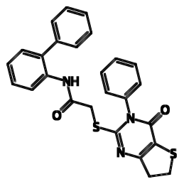 O=C(CSc1nc2c(c(=O)n1-c1ccccc1)SCC2)Nc1ccccc1-c1ccccc1